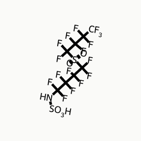 O=S(=O)(O)NC(F)(F)C(F)(F)C(F)(F)C(F)(F)S(=O)(=O)C(F)(F)C(F)(F)C(F)(F)C(F)(F)F